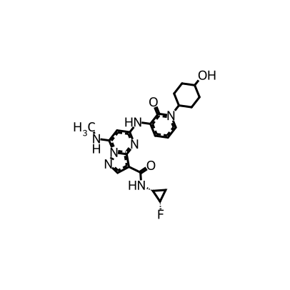 CNc1cc(Nc2cccn(C3CCC(O)CC3)c2=O)nc2c(C(=O)N[C@@H]3C[C@@H]3F)cnn12